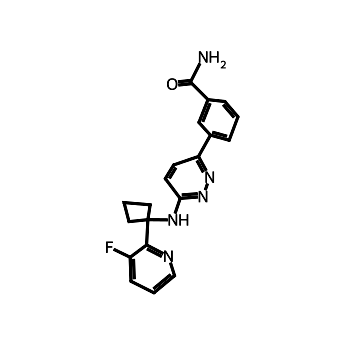 NC(=O)c1cccc(-c2ccc(NC3(c4ncccc4F)CCC3)nn2)c1